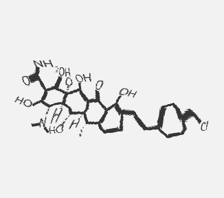 C[C@H]1c2ccc(/C=C/c3ccc(CCl)cc3)c(O)c2C(=O)C2=C(O)[C@]3(O)C(=O)C(C(N)=O)=C(O)[C@@H](N(C)C)[C@@H]3[C@@H](O)[C@@H]21